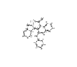 NC(=O)c1c(-n2cnc3cccnc32)c(Cc2ccccc2)cc2ccccc12